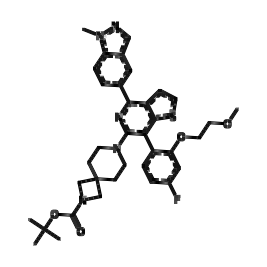 COCCOc1cc(F)ccc1-c1c(N2CCC3(CC2)CN(C(=O)OC(C)(C)C)C3)nc(-c2ccc3c(cnn3C)c2)c2ccsc12